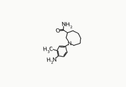 Cc1cc(N2CCCCCC(C(N)=O)C2)ccc1N